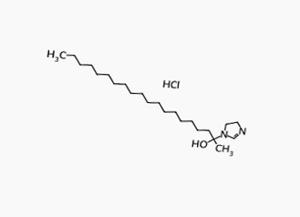 CCCCCCCCCCCCCCCCCCC(C)(O)N1C=NCC1.Cl